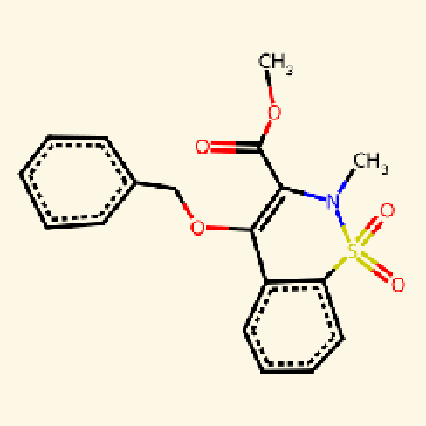 COC(=O)C1=C(OCc2ccccc2)c2ccccc2S(=O)(=O)N1C